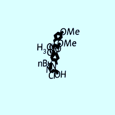 CCCCc1nc(Cl)c(CO)n1Cc1ccc(S(=O)(=O)N(C)[C@@H](Cc2ccc(OC)cc2)C(=O)OC)cc1